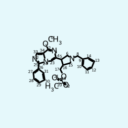 COc1nc(C2CN(Cc3ccccc3)CC2COS(C)(=O)=O)cn2c(-c3ccccc3)ncc12